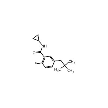 CC(C)(C)Cc1ccc(F)c(C(=O)NC2CC2)c1